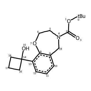 CC(C)(C)OC(=O)N1CCOc2c(cccc2C2(O)CCC2)C1